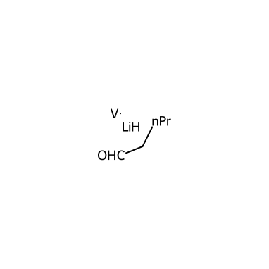 CCCCC=O.[LiH].[V]